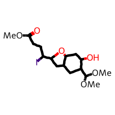 COC(=O)CCC(I)C1CC2CC(C(OC)OC)C(O)CC2O1